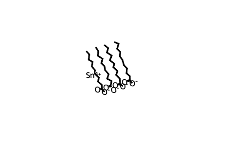 CCCCCCCCCCC(=O)[O-].CCCCCCCCCCC(=O)[O-].CCCCCCCCCCC(=O)[O-].CCCCCCCCCCC(=O)[O-].[Sn+4]